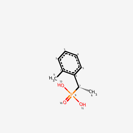 Cc1ccccc1[C@H](C)P(=O)(O)O